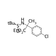 CCOC(=O)C(C)(N[S@@+]([O-])C(C)(C)C)c1ccc(Cl)cc1